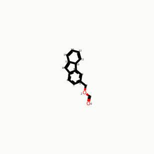 O=[C]OCc1ccc2c(c1)C1C=CC=CC1=C2